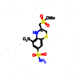 COS(=O)(=O)C[C@H]1CSc2cc(S(N)(=O)=O)cc([N+](=O)[O-])c2N1